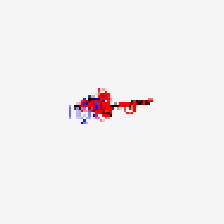 CCCCCCCC(=O)CCCCCCC=CC(C(=O)N[C@@H](Cc1ccc(OCCCC)cc1)C(=O)OC)C(O)(CC(N)=O)C(=O)OC(C)(C)C